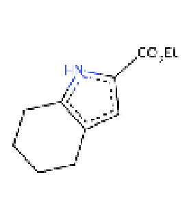 CCOC(=O)c1cc2c([nH]1)CCCC2